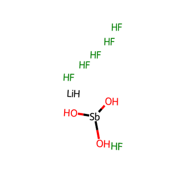 F.F.F.F.F.F.[LiH].[OH][Sb]([OH])[OH]